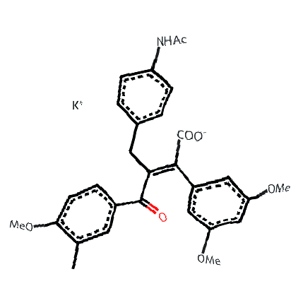 COc1cc(OC)cc(C(C(=O)[O-])=C(Cc2ccc(NC(C)=O)cc2)C(=O)c2ccc(OC)c(C)c2)c1.[K+]